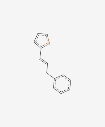 C(=Cc1cccs1)Cc1ccccc1